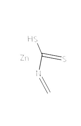 C=NC(=S)S.[Zn]